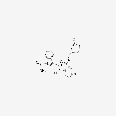 NC(=O)n1cc(NC(=O)N2CCNC[C@H]2C(=O)NCc2cccc(Cl)c2)c2ccccc21